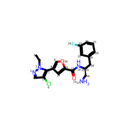 CCn1ncc(Cl)c1-c1coc(C(=O)N[C@H](CN)Cc2cccc(F)c2)c1